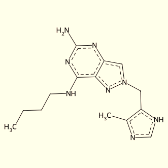 CCCCNc1nc(N)nc2cn(Cc3[nH]cnc3C)nc12